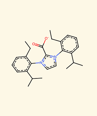 CCc1cccc(C(C)C)c1-n1cc[n+](-c2c(CC)cccc2C(C)C)c1C(=O)[O-]